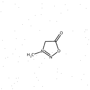 C[N+]1=NOC(=O)C1